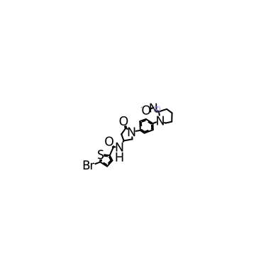 CO/N=C1/CCCCN1c1ccc(N2CC(NC(=O)c3ccc(Br)s3)CC2=O)cc1